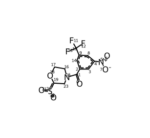 O=C(c1cc([N+](=O)[O-])cc(C(F)(F)F)c1)N1CCOC(=S(=O)=O)C1